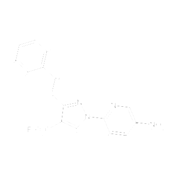 CCOC(=O)c1cn(-c2ccc([N+](=O)[O-])cn2)nc1SCc1ccccc1